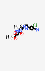 CC(=O)c1cc(C(=O)NC[C@H](C)n2ccc(-c3ccc(C#N)c(Cl)c3)n2)no1